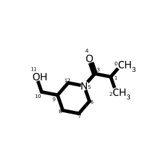 CC(C)C(=O)N1CCCC(CO)C1